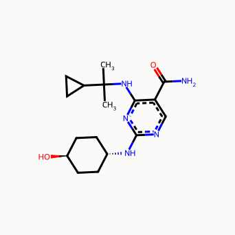 CC(C)(Nc1nc(N[C@H]2CC[C@H](O)CC2)ncc1C(N)=O)C1CC1